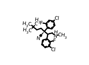 CNCC(c1cccc(Cl)c1F)[C@](C#N)(CCC(C)(C)C)c1ccc(Cl)cc1F